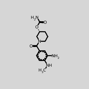 CNc1ccc(C(=O)N2CCC[C@@H](OC(N)=O)C2)cc1N